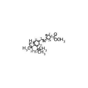 COC(=O)c1csc(N=Cc2ccc3c(c2)C(C)(C)CCC3(C)C)c1